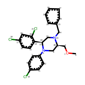 COC[C@H]1CN(c2ccc(Cl)cc2)[C@@H](c2ccc(Cl)cc2Cl)CN1Cc1ccccc1